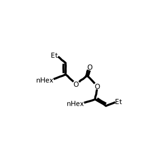 CCC=C(CCCCCC)OC(=O)OC(=CCC)CCCCCC